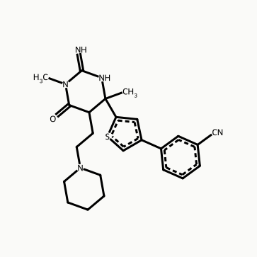 CN1C(=N)NC(C)(c2cc(-c3cccc(C#N)c3)cs2)C(CCN2CCCCC2)C1=O